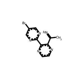 CC(=N)c1nccnc1-c1ncc(Br)cn1